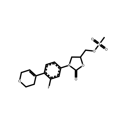 CS(=O)(=O)OCC1CN(c2ccc(C3=CCOCC3)c(F)c2)C(=O)O1